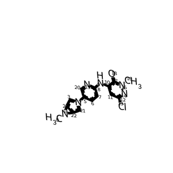 CN1c2cn(-c3ccc(Nc4cc(Cl)nn(C)c4=O)nc3)cc21